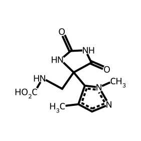 Cc1cnn(C)c1C1(CNC(=O)O)NC(=O)NC1=O